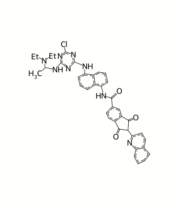 CCN(CC)C(C)Nc1nc(Cl)nc(Nc2cccc3c(NC(=O)c4ccc5c(c4)C(=O)C(c4ccc6ccccc6n4)C5=O)cccc23)n1